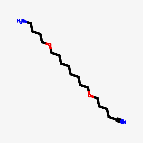 N#CCCCCOCCCCCCCCOCCCCN